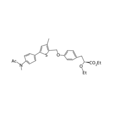 CCOC(=O)[C@H](Cc1ccc(OCc2sc(-c3ccc(N(C)C(C)=O)cc3)cc2C)cc1)OCC